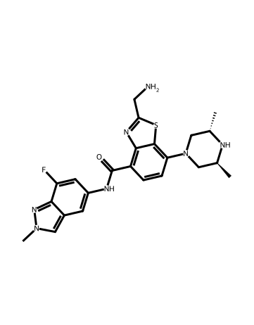 C[C@H]1CN(c2ccc(C(=O)Nc3cc(F)c4nn(C)cc4c3)c3nc(CN)sc23)C[C@H](C)N1